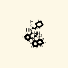 CC(CC1CCCCC1)NCc1ccccc1N(C(N)=O)c1cccc2ccccc12